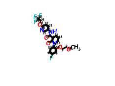 COCCOc1cc(F)ccc1-n1cccc(C(=O)Nc2ccc(OCC(F)(F)F)nc2)c1=O